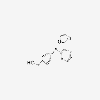 OCc1ccc(Sc2ccncc2C2OCCO2)cc1